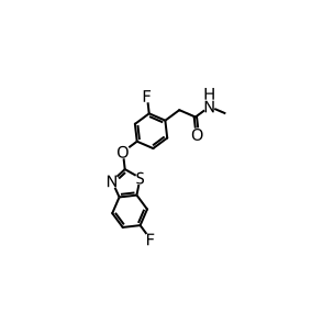 CNC(=O)Cc1ccc(Oc2nc3ccc(F)cc3s2)cc1F